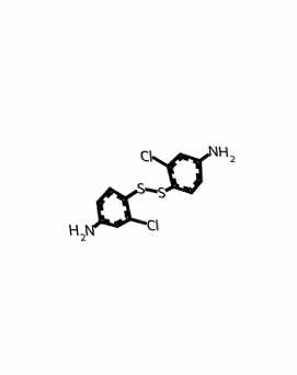 Nc1ccc(SSc2ccc(N)cc2Cl)c(Cl)c1